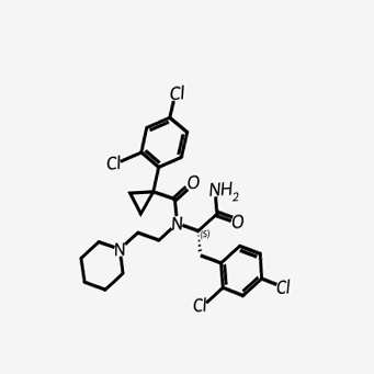 NC(=O)[C@H](Cc1ccc(Cl)cc1Cl)N(CCN1CCCCC1)C(=O)C1(c2ccc(Cl)cc2Cl)CC1